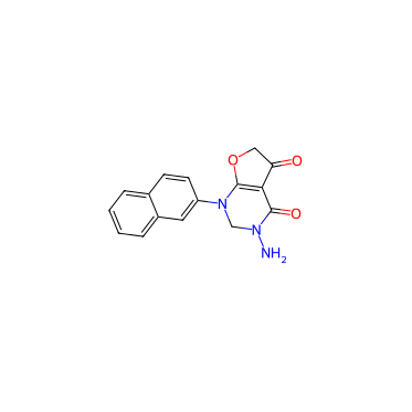 NN1CN(c2ccc3ccccc3c2)C2=C(C(=O)CO2)C1=O